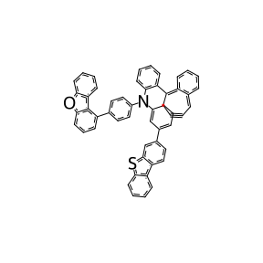 C1#CCC(c2ccccc2N(C2=CC(c3ccc4c(c3)sc3ccccc34)=CCC2)c2ccc(-c3cccc4oc5ccccc5c34)cc2)=c2ccccc2=C1